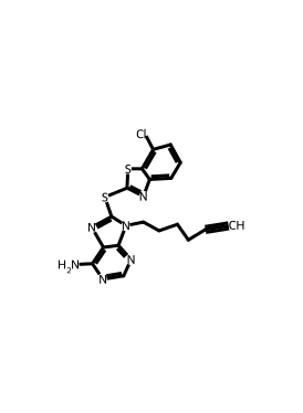 C#CCCCCn1c(Sc2nc3cccc(Cl)c3s2)nc2c(N)ncnc21